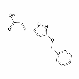 O=C(O)C=Cc1cc(OCc2ccccc2)no1